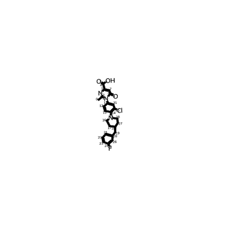 Cc1nc(C(=O)O)cc(=O)n1-c1ccc(N2CCC(Cc3cccc(F)c3)CC2)c(Cl)c1